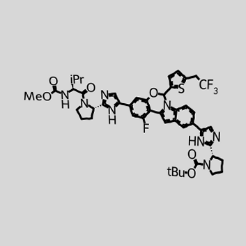 COC(=O)N[C@H](C(=O)N1CCC[C@H]1c1ncc(-c2cc(F)c3c(c2)OC(c2ccc(CC(F)(F)F)s2)n2c-3cc3cc(-c4cnc([C@@H]5CCCN5C(=O)OC(C)(C)C)[nH]4)ccc32)[nH]1)C(C)C